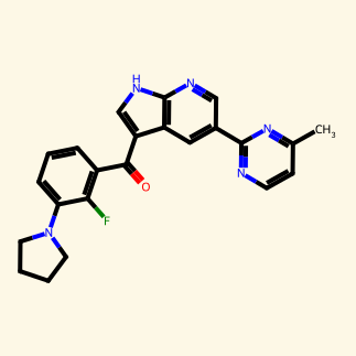 Cc1ccnc(-c2cnc3[nH]cc(C(=O)c4cccc(N5CCCC5)c4F)c3c2)n1